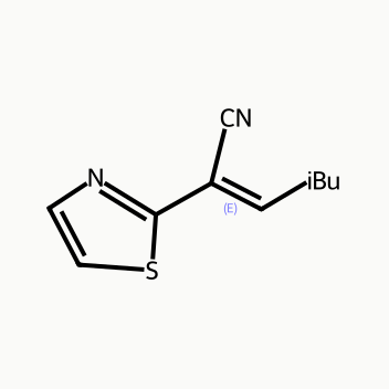 CCC(C)/C=C(\C#N)c1nccs1